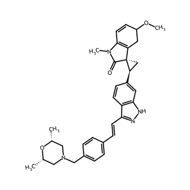 COC1C=CC2=C(C1)[C@]1(C[C@H]1c1ccc3c(/C=C/c4ccc(CN5C[C@@H](C)O[C@@H](C)C5)cc4)n[nH]c3c1)C(=O)N2C